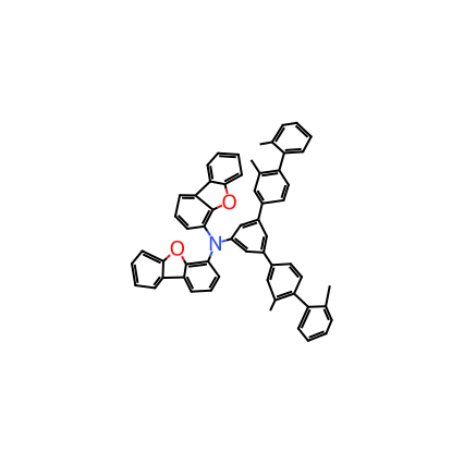 Cc1ccccc1-c1ccc(-c2cc(-c3ccc(-c4ccccc4C)c(C)c3)cc(N(c3cccc4c3oc3ccccc34)c3cccc4c3oc3ccccc34)c2)cc1C